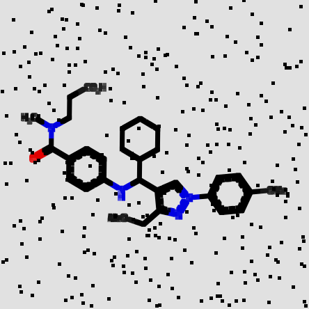 COCc1nn(-c2ccc(OC)cc2)cc1C(Nc1ccc(C(=O)N(C)CCC(=O)O)cc1)C1CCCCC1